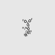 Cc1noc(C)c1NC(=O)Nc1ccc(N2CCN(C(c3ccc(F)cc3)c3ccc(F)cc3)CC2)c(N)c1